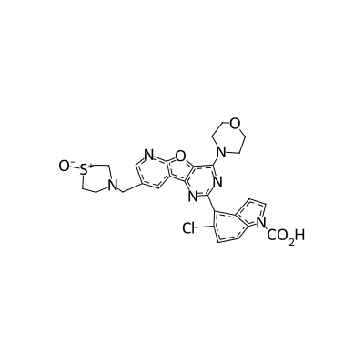 O=C(O)n1ccc2c(-c3nc(N4CCOCC4)c4oc5ncc(CN6CC[S+]([O-])CC6)cc5c4n3)c(Cl)ccc21